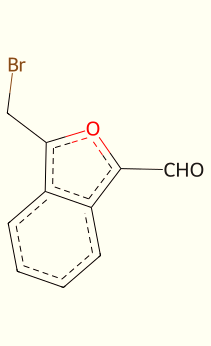 O=Cc1oc(CBr)c2ccccc12